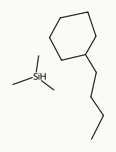 CCCCC1CCCCC1.C[SiH](C)C